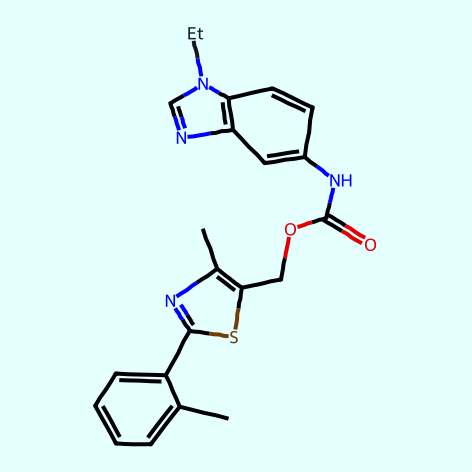 CCn1cnc2cc(NC(=O)OCc3sc(-c4ccccc4C)nc3C)ccc21